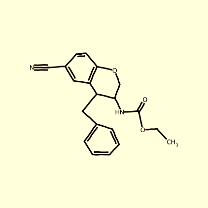 CCOC(=O)NC1COc2ccc(C#N)cc2C1Cc1ccccc1